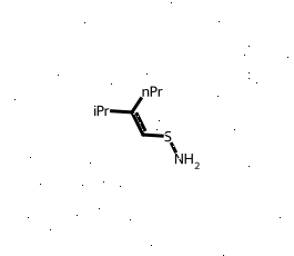 CCC/C(=C\SN)C(C)C